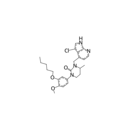 CCCCCOc1cc(N2CCC(C)N(Cc3ccnc4[nH]cc(Cl)c34)C2=O)ccc1OC